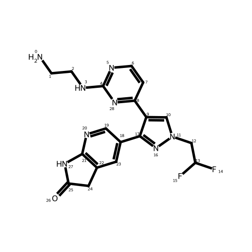 NCCNc1nccc(-c2cn(CC(F)F)nc2-c2cnc3c(c2)CC(=O)N3)n1